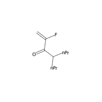 C=C(F)C(=O)C(CCC)CCC